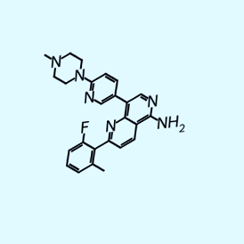 Cc1cccc(F)c1-c1ccc2c(N)ncc(-c3ccc(N4CCN(C)CC4)nc3)c2n1